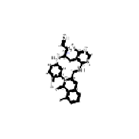 C=C1c2c(C)cccc2C=C(CNc2ncnc(N)c2C/C(N)=C/C=N)N1c1ccccc1F